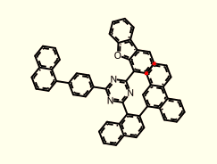 c1ccc2c(-c3ccc(-c4nc(-c5c(-c6cc7ccccc7c7ccccc67)ccc6ccccc56)nc(-c5cccc6c5oc5ccccc56)n4)cc3)cccc2c1